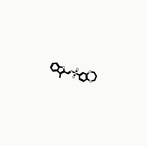 Cc1c(C=NS(=O)(=O)c2ccc3c(c2)OCCCO3)oc2ccccc12